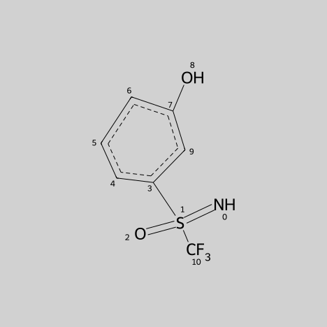 N=S(=O)(c1cccc(O)c1)C(F)(F)F